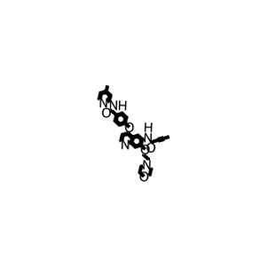 CC#CC(=O)Nc1cc2c(Oc3ccc(C(=O)Nc4cc(C)ccn4)cc3)ccnc2cc1OCCN1CCOCC1